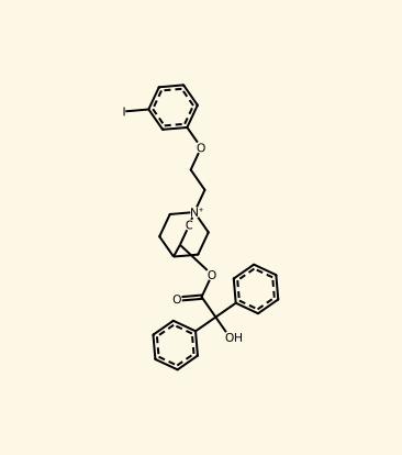 O=C(OC1C[N+]2(CCOc3cccc(I)c3)CCC1CC2)C(O)(c1ccccc1)c1ccccc1